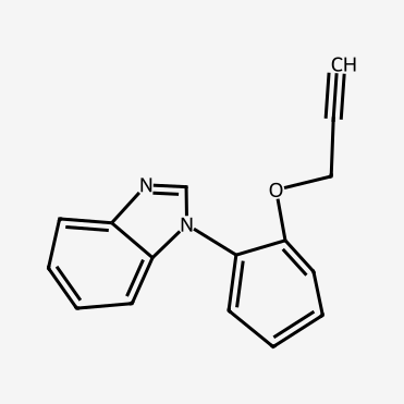 C#CCOc1ccccc1-n1cnc2ccccc21